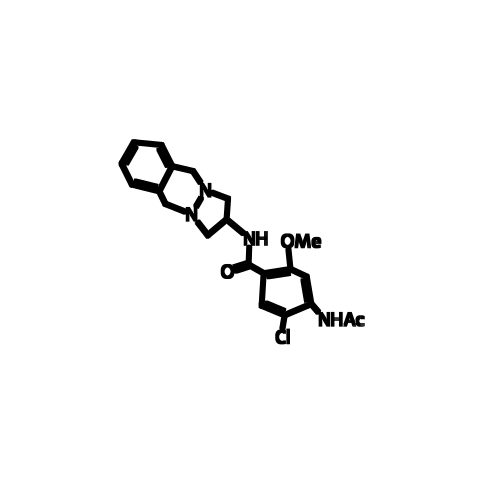 COc1cc(NC(C)=O)c(Cl)cc1C(=O)NC1CN2Cc3ccccc3CN2C1